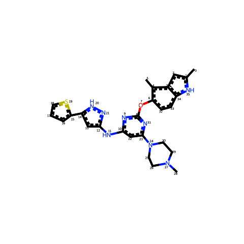 Cc1cc2c(C)c(Oc3nc(Nc4cc(-c5cccs5)[nH]n4)cc(N4CCN(C)CC4)n3)ccc2[nH]1